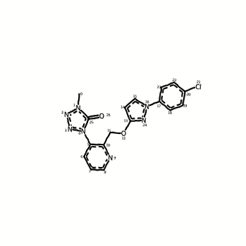 Cn1nnn(-c2cccnc2COc2ccn(-c3ccc(Cl)cc3)n2)c1=O